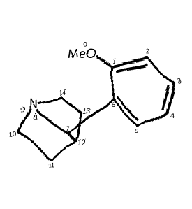 COc1ccccc1[C]1[CH]N2CCC1CC2